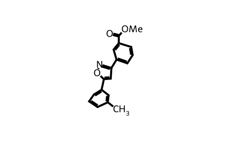 COC(=O)c1cccc(-c2cc(-c3cccc(C)c3)on2)c1